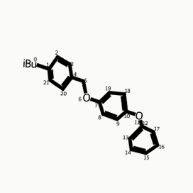 CCC(C)c1ccc(COc2ccc(Oc3ccccc3)cc2)cc1